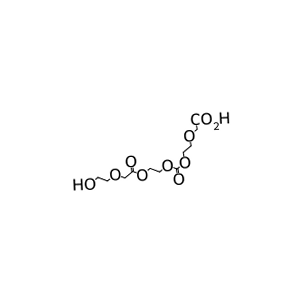 O=C(O)COCCOC(=O)OCCOC(=O)COCCO